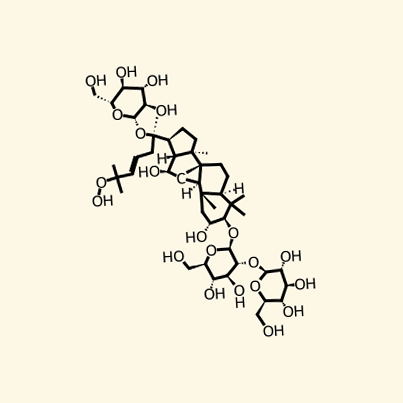 CC(C)(/C=C/C[C@@](C)(O[C@@H]1O[C@H](CO)[C@@H](O)[C@H](O)[C@H]1O)[C@H]1CC[C@]2(C)[C@@H]1[C@H](O)C[C@@H]1[C@@]3(C)C[C@@H](O)[C@H](O[C@@H]4O[C@H](CO)[C@@H](O)[C@H](O)[C@H]4O[C@@H]4O[C@H](CO)[C@@H](O)[C@H](O)[C@H]4O)C(C)(C)[C@@H]3CC[C@]12C)OO